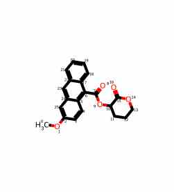 COc1ccc2c(C(=O)OC3CCCOC3=O)c3ccccc3cc2c1